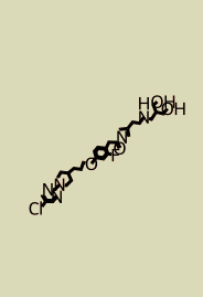 O=C(Cc1ccc(OCCCC2CCN(c3ncc(Cl)cn3)CC2)cc1F)N1CC(CCNCC(CO)CO)C1